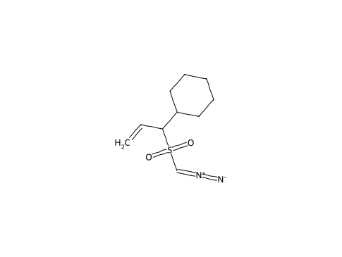 C=CC(C1CCCCC1)S(=O)(=O)C=[N+]=[N-]